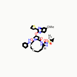 COc1ccc2nc(O[C@@H]3C[C@H]4C(=O)N[C@]5(C(=O)NS(=O)(=O)C6(C)CC6)C[C@H]5/C=C\CCCCC[C@H](Nc5ccccc5)C(=O)N4C3)c(C3CC=CS3)nc2c1